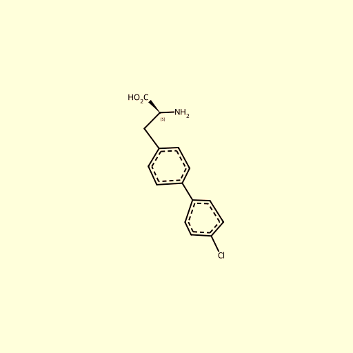 N[C@@H](Cc1ccc(-c2ccc(Cl)cc2)cc1)C(=O)O